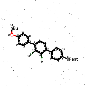 CCCCCc1ccc(-c2ccc(-c3ccc(OCCCC)cc3)c(F)c2F)cc1